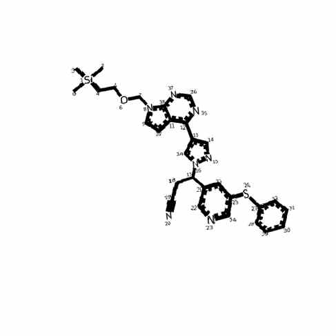 C[Si](C)(C)CCOCn1ccc2c(-c3cnn(C(CC#N)c4cncc(Sc5ccccc5)c4)c3)ncnc21